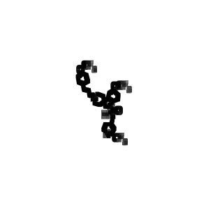 O=C(NCc1ccnc(C(F)(F)F)c1)N1CC2(CCN(CC=Cc3ccc(OC(F)(F)F)cc3)CC2)c2cc(OC(F)(F)F)ccc21